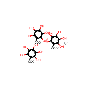 O=C([O-])c1c(O)c(O)c(O)c(O)c1O.O=C([O-])c1c(O)c(O)c(O)c(O)c1O.O=C([O-])c1c(O)c(O)c(O)c(O)c1O.[Al+3]